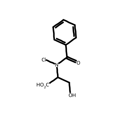 O=C(O)C(CO)N(Cl)C(=O)c1ccccc1